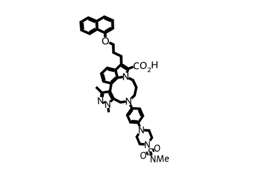 CNS(=O)(=O)N1CCN(c2ccc(N3CCCn4c(C(=O)O)c(CCCOc5cccc6ccccc56)c5cccc(c54)-c4c(C)nn(C)c4C3)cc2)CC1